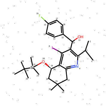 CC(C)c1nc2c(c(I)c1C(O)c1ccc(F)cc1)[C@H](O[Si](C)(C)C(C)(C)C)CC(C)(C)C2